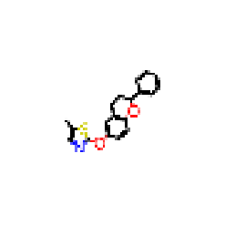 Cc1cnc(Oc2ccc3c(c2)CCC(c2ccccc2)O3)s1